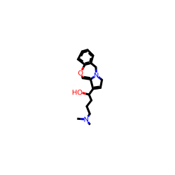 CN(C)CCCC(O)C1=CCN2Cc3ccccc3OC=C12